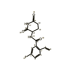 C=Cc1ccc(F)cc1C(=O)NC1CCC(=O)NC1=O